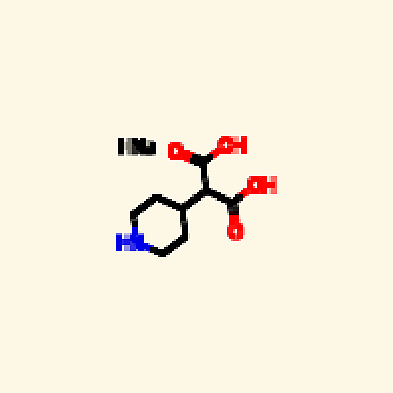 O=C(O)C(C(=O)O)C1CCNCC1.[NaH]